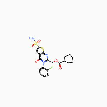 NS(=O)(=O)c1cc2c(=O)n(-c3ccccc3F)c(COC(=O)C3CCCCC3)nc2s1